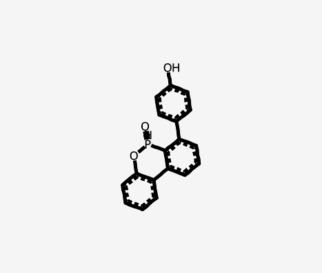 O=[PH]1Oc2ccccc2-c2cccc(-c3ccc(O)cc3)c21